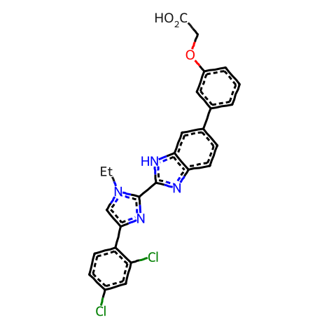 CCn1cc(-c2ccc(Cl)cc2Cl)nc1-c1nc2ccc(-c3cccc(OCC(=O)O)c3)cc2[nH]1